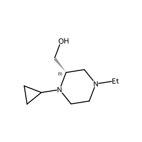 CCN1CCN(C2CC2)[C@H](CO)C1